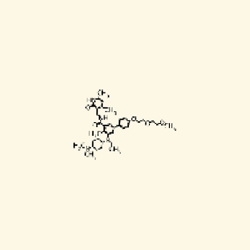 CCN(c1cc(-c2ccc(OCCOCCOC)cc2)cc(C(=O)NCc2c(C)cc(C)[nH]c2=O)c1C)[C@H]1CC[C@H](N(C)C)CC1